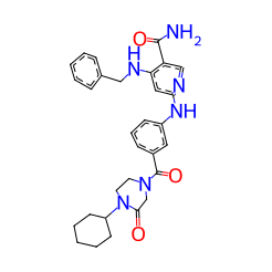 NC(=O)c1cnc(Nc2cccc(C(=O)N3CCN(C4CCCCC4)C(=O)C3)c2)cc1NCc1ccccc1